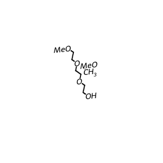 COC.COCCOCCOCCO